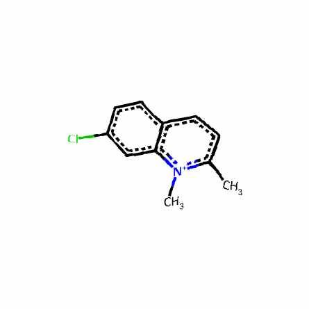 Cc1ccc2ccc(Cl)cc2[n+]1C